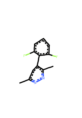 Cc1cc(-c2c(F)cccc2F)c(C)nn1